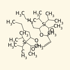 CCCCC(OC(=O)/C=C\C(=O)OC(CCCC)[Si](C(C)C)(C(C)C)C(C)C)[Si](C(C)C)(C(C)C)C(C)C